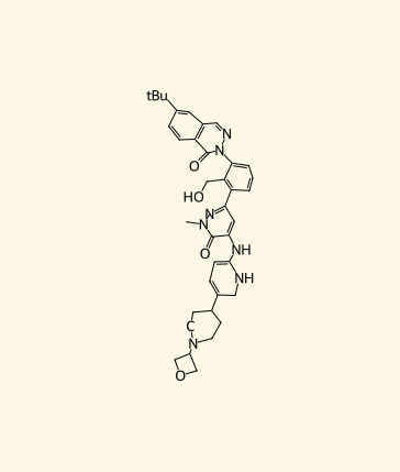 Cn1nc(-c2cccc(-n3ncc4cc(C(C)(C)C)ccc4c3=O)c2CO)cc(NC2=CC=C(C3CCN(C4COC4)CC3)CN2)c1=O